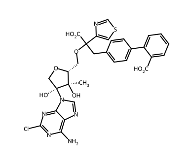 C[C@@]1(O)[C@@H](COC(Cc2ccc(-c3ccccc3C(=O)O)cc2)(C(=O)O)c2cscn2)OC[C@]1(O)n1cnc2c(N)nc(Cl)nc21